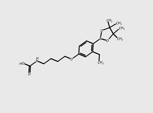 CCc1cc(OCCCCNC(=O)O)ccc1B1OC(C)(C)C(C)(C)O1